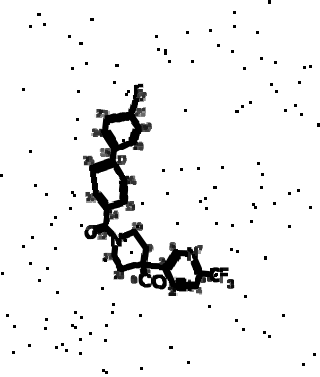 CCOC(=O)C1(c2ccc(C(F)(F)F)nc2)CCN(C(=O)c2ccc(-c3ccc(F)cc3)cc2)CC1